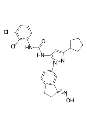 O=C(Nc1cccc(Cl)c1Cl)Nc1cc(C2CCCC2)nn1-c1ccc2c(c1)/C(=N/O)CC2